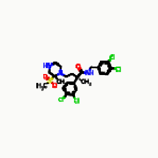 C[C@](CCN1CCNC[C@]1(C)S(C)(=O)=O)(C(=O)NCc1ccc(Cl)c(Cl)c1)c1ccc(Cl)c(Cl)c1